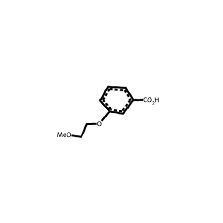 COCCOc1cccc(C(=O)O)c1